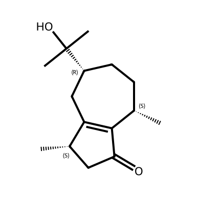 C[C@H]1CC(=O)C2=C1C[C@H](C(C)(C)O)CC[C@@H]2C